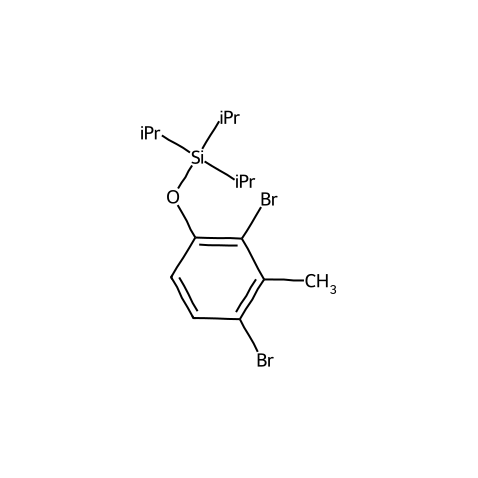 Cc1c(Br)ccc(O[Si](C(C)C)(C(C)C)C(C)C)c1Br